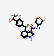 CNC(=O)c1ccc(C(F)c2cccc3[nH]cc(C(=O)NC4CCSCC4)c23)cc1